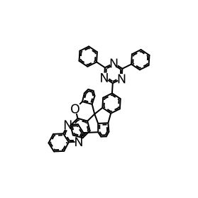 c1ccc(-c2nc(-c3ccccc3)nc(-c3ccc4c(c3)C3(c5ccccc5Oc5ccccc53)c3c(-c5cnc6ccccc6n5)cccc3-4)n2)cc1